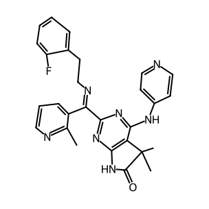 Cc1ncccc1/C(=N\CCc1ccccc1F)c1nc2c(c(Nc3ccncc3)n1)C(C)(C)C(=O)N2